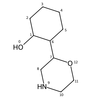 OC1CCCCC1C1CNCCO1